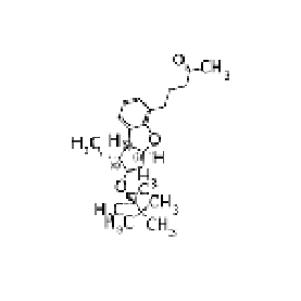 CC[C@H]1C(O[Si](C)(C)C(C)(C)C)C[C@@H]2Oc3c(CCCC(C)=O)cccc3[C@@H]21